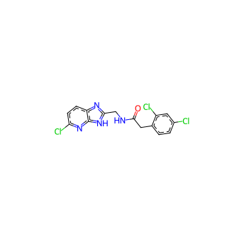 O=C(Cc1ccc(Cl)cc1Cl)NCc1nc2ccc(Cl)nc2[nH]1